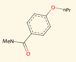 CCCOc1ccc(C(=O)NC)cc1